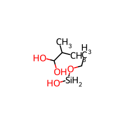 CC(C)C(O)O.CCO[SiH2]O